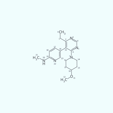 CCc1ncnc(N2CCC(OC)CC2)c1-c1ccc(NC)nc1